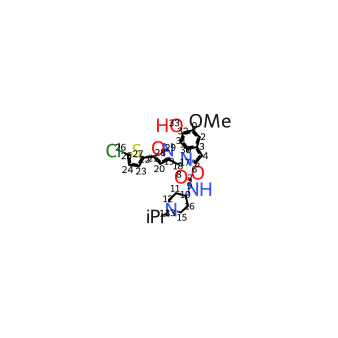 COc1cc2cc(OC(=O)NC3CCN(C(C)C)CC3)n(Cc3cc(-c4ccc(Cl)s4)on3)c2cc1O